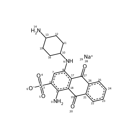 Nc1c(S(=O)(=O)[O-])cc(NC2CCC(N)CC2)c2c1C(=O)c1ccccc1C2=O.[Na+]